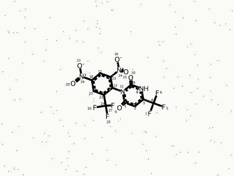 O=c1cc(C(F)(F)F)[nH]c(=O)n1-c1c([N+](=O)[O-])cc([N+](=O)[O-])cc1C(F)(F)F